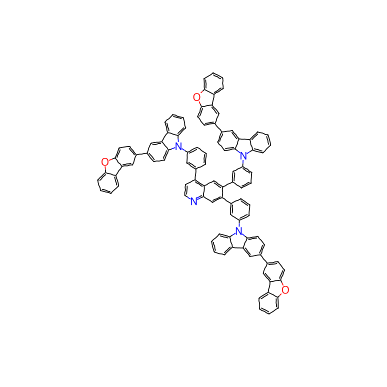 c1cc(-c2cc3nccc(-c4cccc(-n5c6ccccc6c6cc(-c7ccc8oc9ccccc9c8c7)ccc65)c4)c3cc2-c2cccc(-n3c4ccccc4c4cc(-c5ccc6oc7ccccc7c6c5)ccc43)c2)cc(-n2c3ccccc3c3cc(-c4ccc5oc6ccccc6c5c4)ccc32)c1